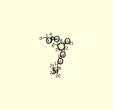 CCOP(C)(=O)Cc1cc(OC)cc(OCOCC[Si](C)(C)C)c1